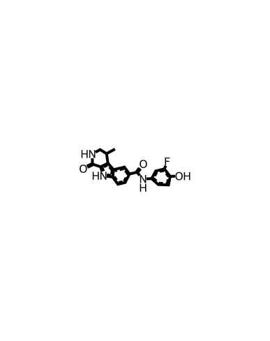 CC1CNC(=O)c2[nH]c3ccc(C(=O)Nc4ccc(O)c(F)c4)cc3c21